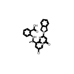 C[C@@H](Nc1ccccc1C(=O)O)c1cc(Cl)cn2c(=O)cc(N3Cc4ccccc4C3)nc12